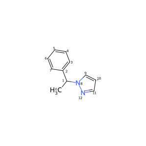 CC(c1ccccc1)n1c[c]cn1